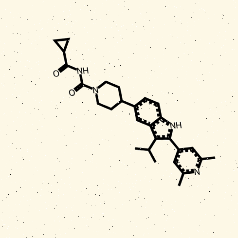 Cc1cc(-c2[nH]c3ccc(C4CCN(C(=O)NC(=O)C5CC5)CC4)cc3c2C(C)C)cc(C)n1